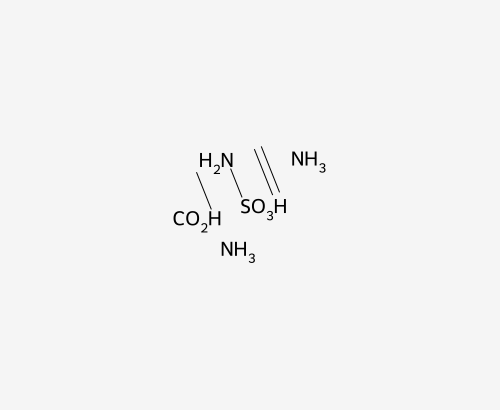 C=C.CC(=O)O.N.N.NS(=O)(=O)O